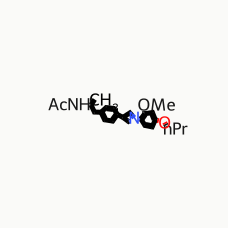 CCCOc1ccc(N2CC(c3ccc(CC(C)NC(C)=O)cc3)C2)c(OC)c1